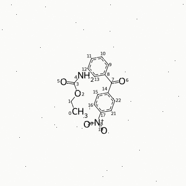 CCOC(N)=O.O=C(c1ccccc1)c1ccc([N+](=O)[O-])cc1